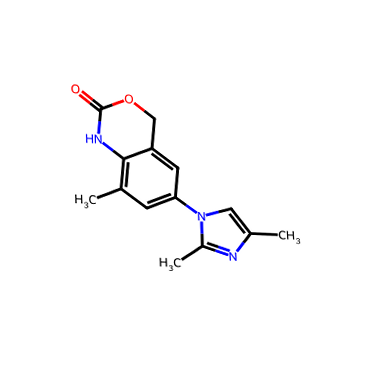 Cc1cn(-c2cc(C)c3c(c2)COC(=O)N3)c(C)n1